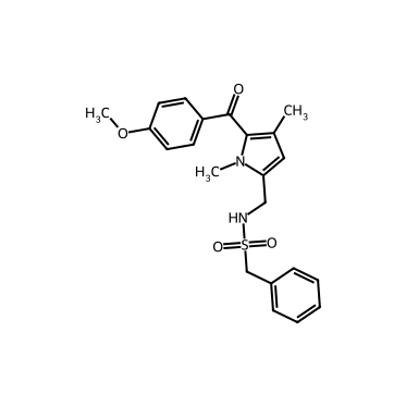 COc1ccc(C(=O)c2c(C)cc(CNS(=O)(=O)Cc3ccccc3)n2C)cc1